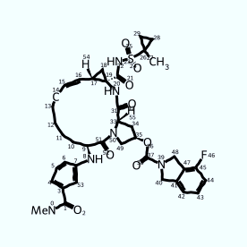 CNC(=O)c1cccc(N[C@H]2CCCCC/C=C\[C@@H]3C[C@@]3(C(=O)NS(=O)(=O)C3(C)CC3)NC(=O)[C@@H]3C[C@@H](OC(=O)N4Cc5cccc(F)c5C4)CN3C2=O)c1